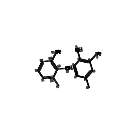 Cc1ccc(O)c(C(C)C)c1.Cc1cccc(C(C)C)c1O